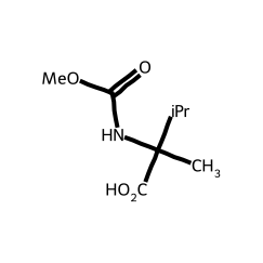 COC(=O)NC(C)(C(=O)O)C(C)C